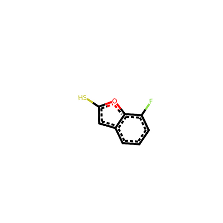 Fc1cccc2cc(S)oc12